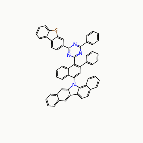 c1ccc(-c2nc(-c3ccc4c(c3)sc3ccccc34)nc(-c3c(-c4ccccc4)cc(-n4c5cc6ccccc6cc5c5ccc6ccccc6c54)c4ccccc34)n2)cc1